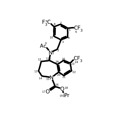 CC(=O)N(Cc1cc(C(F)(F)F)cc(C(F)(F)F)c1)C1CCCN(C(=O)OC(C)C)c2ccc(C(F)(F)F)cc21